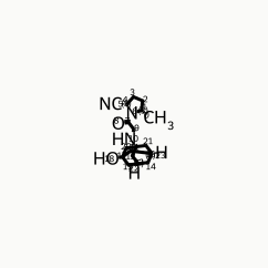 C[C@H]1CC[C@@H](C#N)N1C(=O)CNC12C[C@@H]3C[C@@H](CC(O)(C3)C1)C2